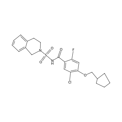 O=C(NS(=O)(=O)N1CCc2ccccc2C1)c1cc(Cl)c(OCC2CCCC2)cc1F